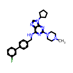 CN1CCN(c2nc(NCc3ccc(-c4cccc(F)c4)cc3)c3ncn(C4CCCC4)c3n2)CC1